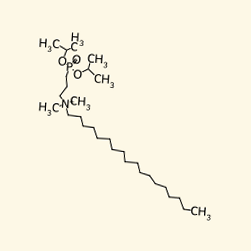 CCCCCCCCCCCCCCCCCC[N+](C)(C)CCCP(=O)(OC(C)C)OC(C)C